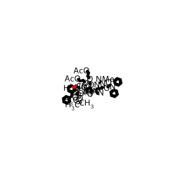 CNc1nc(OC(=O)N(c2ccccc2)c2ccccc2)c2ncn([C@@H]3O[C@H](CO[Si](OC(c4ccccc4)c4ccccc4)(O[Si](C)(C)C)O[Si](C)(C)C)[C@@H](O)[C@H]3OC(OCCOC(C)=O)OCCOC(C)=O)c2n1